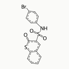 O=c1sc2ccccc2cc1S(=O)(=O)Nc1ccc(Br)cc1